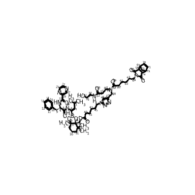 CC(C)CC(NC(=O)[C@H](Cc1ccccc1)NC(=O)c1cnccn1)B1O[C@@]2(C)CCCC(C)(C)[C@@]2(COC(=O)CCCCCn2cc(CN(CCC(=O)NCCO)C(=O)CCCCCN3C(=O)C4C5C=CC(C5)C4C3=O)nn2)O1